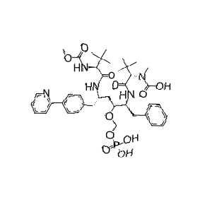 COC(=O)N[C@H](C(=O)N[C@@H](Cc1ccc(-c2ccccn2)cc1)C[C@H](OCOP(=O)(O)O)[C@H](Cc1ccccc1)NC(=O)[C@@H](N(C)C(=O)O)C(C)(C)C)C(C)(C)C